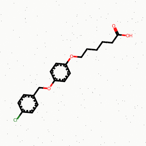 O=C(O)CCCCCOc1ccc(OCc2ccc(Cl)cc2)cc1